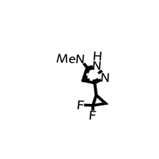 CNc1cc(C2CC2(F)F)n[nH]1